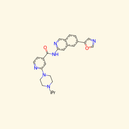 CC(C)N1CCN(c2cc(C(=O)Nc3cc4cc(-c5cnco5)ccc4cn3)ccn2)CC1